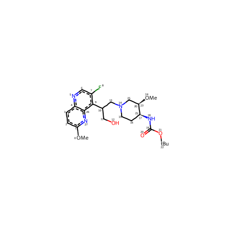 COc1ccc2ncc(F)c(C(CO)CN3CC[C@H](NC(=O)OC(C)(C)C)[C@H](OC)C3)c2n1